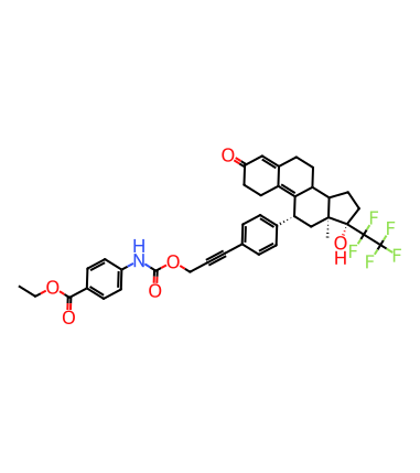 CCOC(=O)c1ccc(NC(=O)OCC#Cc2ccc([C@H]3C[C@@]4(C)C(CC[C@@]4(O)C(F)(F)C(F)(F)F)C4CCC5=CC(=O)CCC5=C43)cc2)cc1